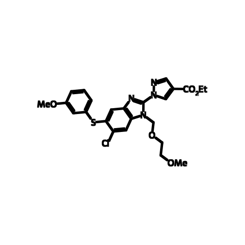 CCOC(=O)c1cnn(-c2nc3cc(Sc4cccc(OC)c4)c(Cl)cc3n2COCCOC)c1